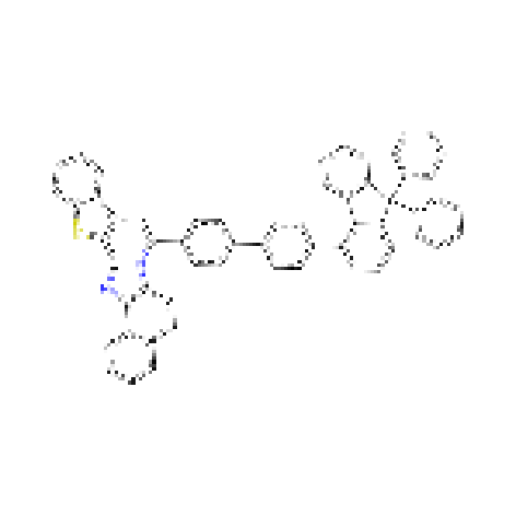 c1ccc(C2(c3ccccc3)c3ccccc3-c3c(-c4ccc(-c5ccc(-c6cc7c8ccccc8sc7c7nc8c9ccccc9ccc8n67)cc5)cc4)cccc32)cc1